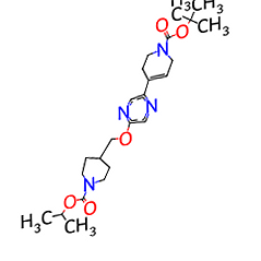 CC(C)OC(=O)N1CCC(COc2cnc(C3=CCN(C(=O)OC(C)(C)C)CC3)cn2)CC1